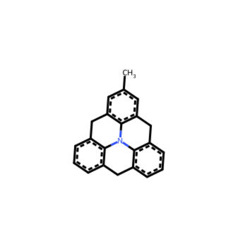 Cc1cc2c3c(c1)Cc1cccc4c1N3c1c(cccc1C2)C4